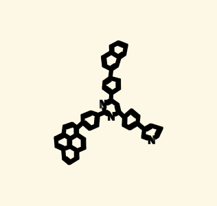 c1cncc(-c2ccc(-c3cc(-c4ccc(-c5ccc6ccccc6c5)cc4)nc(-c4ccc(-c5ccc6ccc7cccc8ccc5c6c78)cc4)n3)cc2)c1